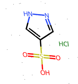 Cl.O=S(=O)(O)c1cn[nH]c1